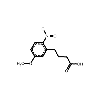 COc1ccc([N+](=O)[O-])c(CCCC(=O)O)c1